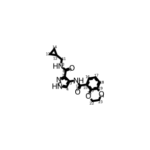 O=C(Nc1c[nH]nc1C(=O)NCC1CC1)c1cccc2c1OCCO2